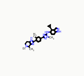 CCN1CCc2[nH]c(-c3ccc(-c4nc(Nc5ccc6[nH]ncc6c5C5CC5)n(C)n4)cc3C)nc2C1C